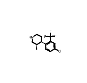 C[C@H]1CNCC[C@H]1c1ccc(Cl)cc1C(F)(F)F